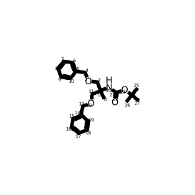 CC(COCc1ccccc1)(COCc1ccccc1)NC(=O)OC(C)(C)C